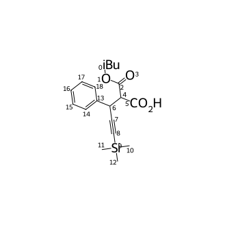 CCC(C)OC(=O)C(C(=O)O)C(C#C[Si](C)(C)C)c1ccccc1